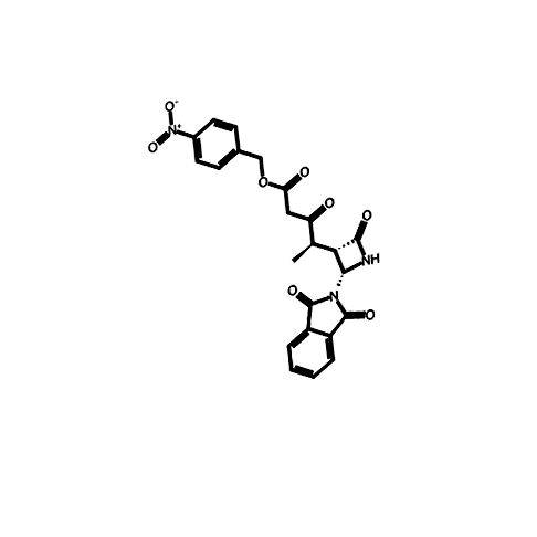 C[C@@H](C(=O)CC(=O)OCc1ccc([N+](=O)[O-])cc1)[C@@H]1C(=O)N[C@@H]1N1C(=O)c2ccccc2C1=O